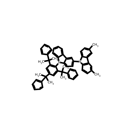 Cc1ccc2c(c1)c1cc(C)ccc1n2-c1ccc2c(c1)c1ccccc1n2-c1c(C(C)(C)c2ccccc2)cc(C(C)(C)c2ccccc2)cc1C(C)(C)c1ccccc1